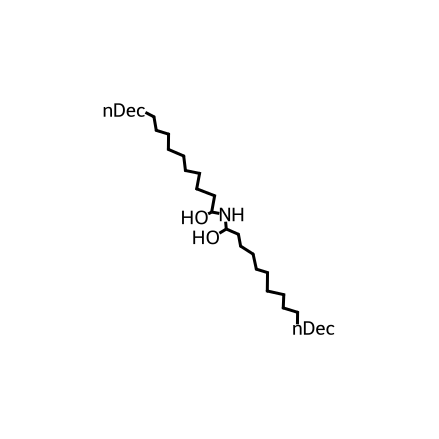 CCCCCCCCCCCCCCCCCCCC(O)NC(O)CCCCCCCCCCCCCCCCCCC